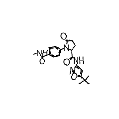 CNC(=O)c1ccc(N2C(=O)CC[C@H]2C(=O)Nc2cc(C(C)(C)C)on2)cc1